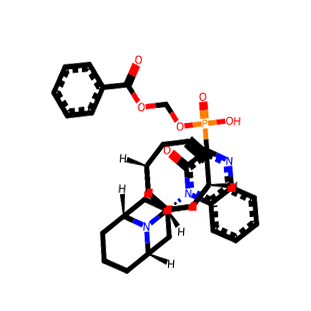 O=C(OCOP(=O)(O)c1nc2ccccc2n([C@H]2C[C@H]3CCC[C@@H](C2)N3[C@H]2C[C@H]3C#CC[C@H](CCC3)C2)c1=O)c1ccccc1